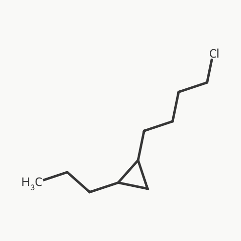 CCCC1CC1CCCCCl